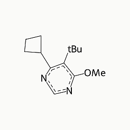 COc1ncnc(C2CCC2)c1C(C)(C)C